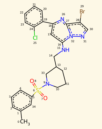 Cc1cccc(S(=O)(=O)N2CCCC(CNc3cc(-c4ccccc4Cl)nc4c(Br)cnn34)C2)c1